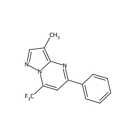 Cc1cnn2c(C(F)(F)F)cc(-c3ccccc3)nc12